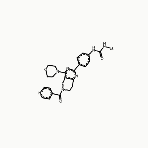 CCNC(=O)Nc1ccc(-c2nc3c(c(N4CCOCC4)n2)CN(C(=O)c2ccncc2)CC3)cc1